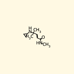 CNC(=O)/C=C/C(C)(C)NC1CC1